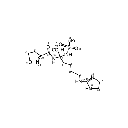 CCCS(=O)(=O)NC(CCCCNC1=NCCN1)(NC(=O)C1=NOCC1)C(=O)O